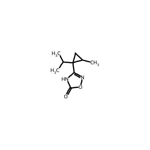 CC(C)C1(c2noc(=O)[nH]2)CC1C